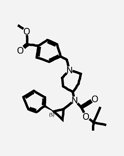 COC(=O)c1ccc(CN2CCC(N(C(=O)OC(C)(C)C)C3C[C@H]3c3ccccc3)CC2)cc1